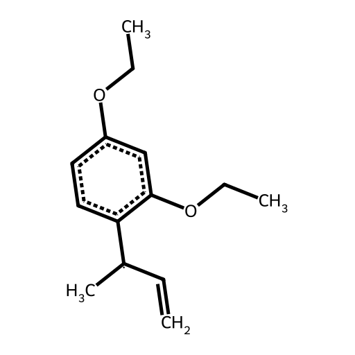 C=C[C](C)c1ccc(OCC)cc1OCC